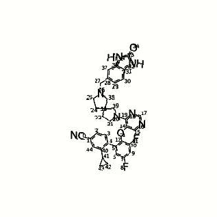 N#Cc1ccc(-c2cc(F)cc(F)c2Oc2cncnc2N2CCC3(CCN(Cc4ccc5[nH]c(=O)[nH]c5c4)C3)C2)c(C2CC2)c1